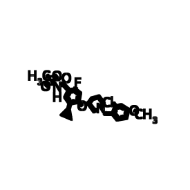 COc1ccc(CN2CCCC(Oc3cc(F)c(C(=O)NS(C)(=O)=O)cc3C3CC3)C2)c(Cl)c1